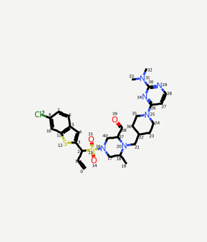 C=CC(c1cc2ccc(Cl)cc2s1)S(=O)(=O)N1CC(C)N(CC2CCN(c3ccnc(N(C)C)n3)CC2)C(C=O)C1